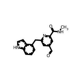 CNC(=O)c1cc(C=O)cc(Cc2cccc3[nH]ccc23)n1